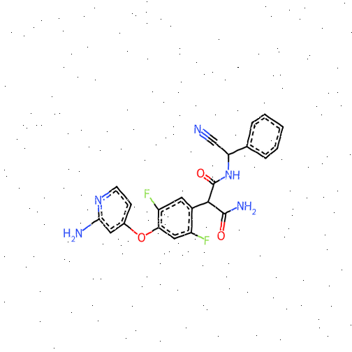 N#CC(NC(=O)C(C(N)=O)c1cc(F)c(Oc2ccnc(N)c2)cc1F)c1ccccc1